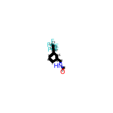 O=CNCc1cccc(C(F)(F)C(F)(F)F)c1